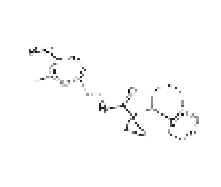 COc1ccc(CCNC(=O)C2(C3CCCc4ccccc43)CC2)cc1C